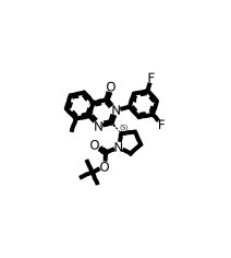 Cc1cccc2c(=O)n(-c3cc(F)cc(F)c3)c([C@@H]3CCCN3C(=O)OC(C)(C)C)nc12